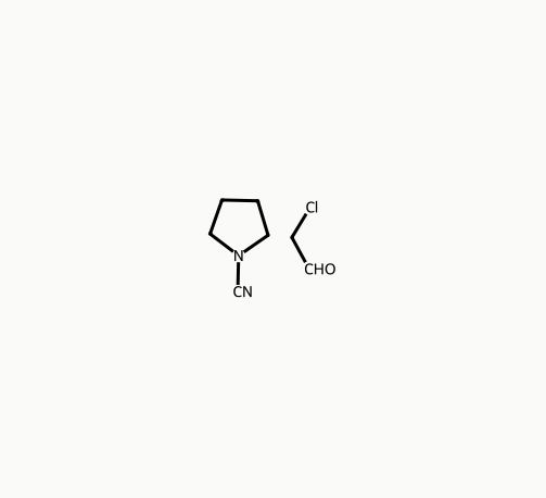 N#CN1CCCC1.O=CCCl